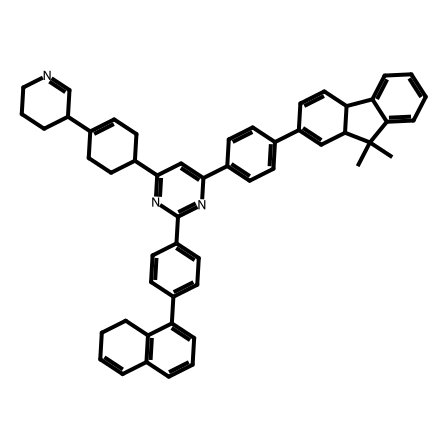 CC1(C)c2ccccc2C2C=CC(c3ccc(-c4cc(C5CC=C(C6C=NCCC6)CC5)nc(-c5ccc(-c6cccc7c6CCC=C7)cc5)n4)cc3)=CC21